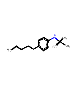 CCCCCc1ccc(NC(C)(C)C)cc1